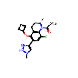 COC(=O)N1c2c(F)cc(C3=CN(C)NN3)c(OC3CCC3)c2CC[C@@H]1C